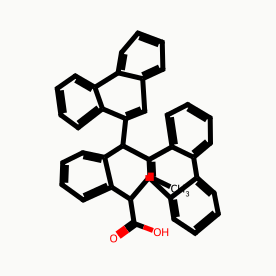 CCC(C(=O)O)c1ccccc1C(c1cc2ccccc2c2ccccc12)c1cc2ccccc2c2ccccc12